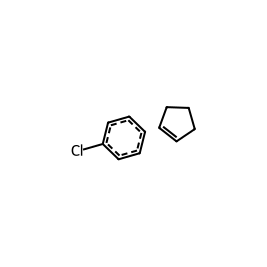 C1=CCCC1.Clc1ccccc1